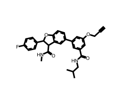 C#CCOc1cc(C(=O)NCC(C)C)cc(-c2ccc3c(c2)C(C(=O)NC)C(c2ccc(F)cc2)O3)c1